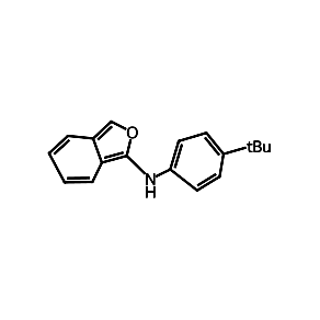 CC(C)(C)c1ccc(Nc2occ3ccccc23)cc1